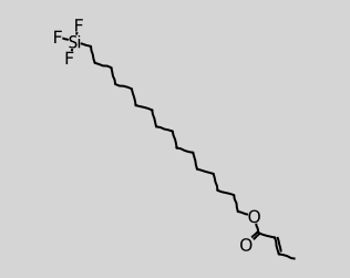 CC=CC(=O)OCCCCCCCCCCCCCCCC[Si](F)(F)F